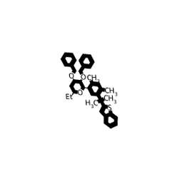 CC[C@@H]1C[C@H](OCc2ccccc2)[C@@H](OCc2ccccc2)[C@H](c2cc(C(C)(C)c3cc4ccccc4s3)c(C)cc2C)O1